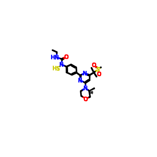 CCNC(=O)N(S)c1ccc(-c2nc(N3CCOC[C@@H]3C)cc(C(C)(C)S(C)(=O)=O)n2)cc1